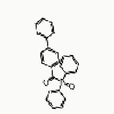 O=C(c1ccc(-c2ccccc2)cc1)P(=O)(c1ccccc1)c1ccccc1